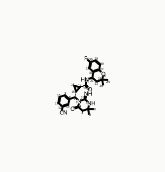 CC1(C)CC(=O)N(C(c2cccc(C#N)c2)[C@@H]2C[C@H]2C(=O)NC2CC(C)(C)Oc3ccc(F)cc32)C(=N)N1